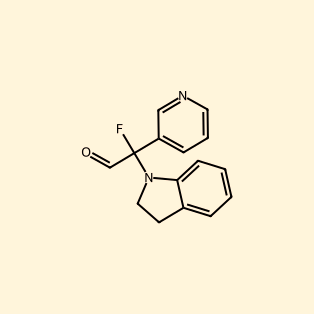 O=CC(F)(c1cccnc1)N1CCc2ccccc21